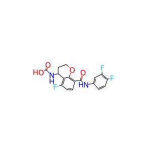 O=C(O)NC1CCOc2c(C(=O)Nc3ccc(F)c(F)c3)ccc(F)c21